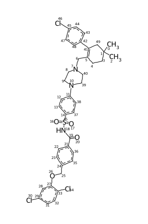 CC1(C)CCC(CN2CCN(c3ccc(S(=O)(=O)NC(=O)c4ccc(COc5cc(Cl)ccc5Cl)cc4)cc3)CC2)=C(c2ccc(Cl)cc2)C1